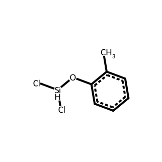 Cc1ccccc1O[SiH](Cl)Cl